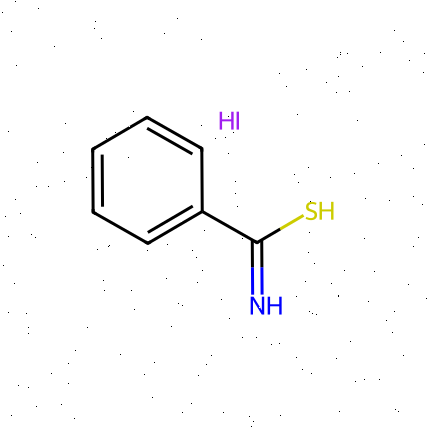 I.N=C(S)c1ccccc1